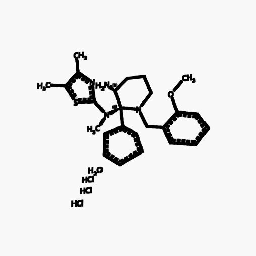 COc1ccccc1CN1CCC[C@H](N)[C@]1(c1ccccc1)N(C)c1nc(C)c(C)s1.Cl.Cl.Cl.O